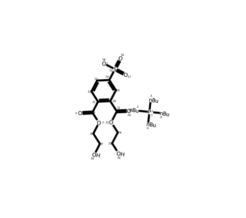 CCCC[P+](CCCC)(CCCC)CCCC.O=C(OCCO)c1ccc(S(=O)(=O)[O-])cc1C(=O)OCCO